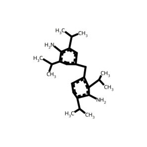 CC(C)c1cc(Cc2ccc(C(C)C)c(N)c2C(C)C)cc(C(C)C)c1N